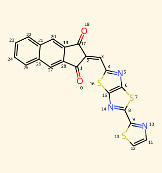 O=C1C(=Cc2nc3sc(-c4nccs4)nc3s2)C(=O)c2cc3ccccc3cc21